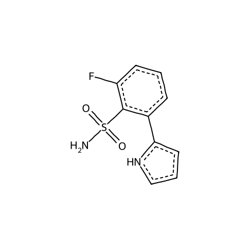 NS(=O)(=O)c1c(F)cccc1-c1ccc[nH]1